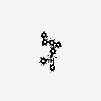 C(=N\C(NNCc1ccccc1)c1ccc(-n2c3ccccc3c3ccc(-c4cccc5c4sc4ccccc45)cc32)cc1)/c1ccccc1